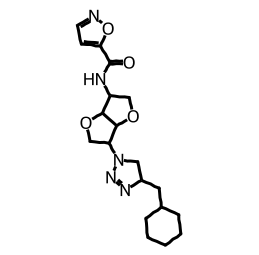 O=C(NC1COC2C1OCC2N1CC(CC2CCCCC2)N=N1)c1ccno1